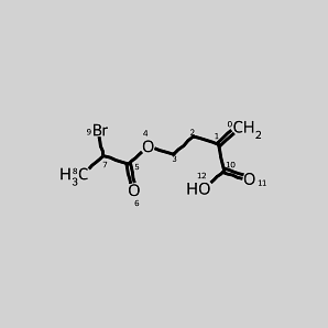 C=C(CCOC(=O)C(C)Br)C(=O)O